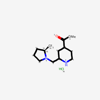 COC(=O)C1CCNC(CN2CCC[C@H]2C(F)(F)F)C1.Cl